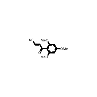 COc1cc(OC)c(C(=O)C=CC#N)c(OC)c1